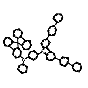 c1ccc(-c2ccc(-c3ccc4c(c3)c3cc(-c5ccc(-c6ccccc6)cc5)ccc3n4-c3ccc(N(c4ccccc4)c4ccc5c(c4)C4(c6ccccc6-c6ccccc64)c4ccccc4-5)cc3)cc2)cc1